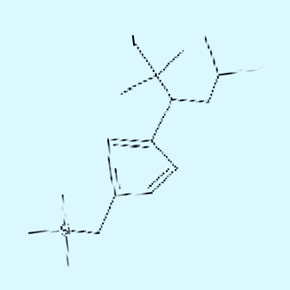 CC(C)CC(c1ccc(C[Si](C)(C)C)cc1)C(C)(C)I